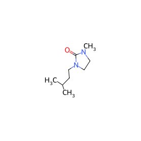 CC(C)CCN1CCN(C)C1=O